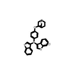 Cl.c1ccc2c(N(c3ccc(OC4CN5CCC4CC5)cc3)c3csc4ccccc34)csc2c1